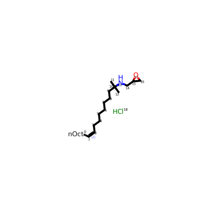 CCCCCCCC/C=C\CCCCCCCC(C)(C)NCC1CO1.Cl